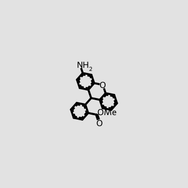 COC(=O)c1ccccc1C1c2ccccc2Oc2cc(N)ccc21